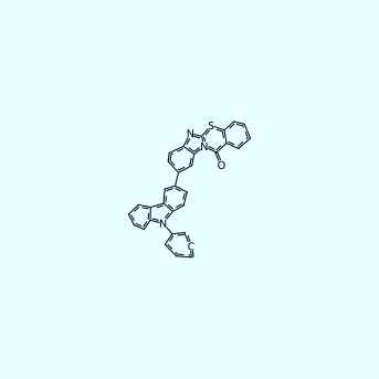 O=c1c2ccccc2sc2nc3ccc(-c4ccc5c(c4)c4ccccc4n5-c4ccccc4)cc3n12